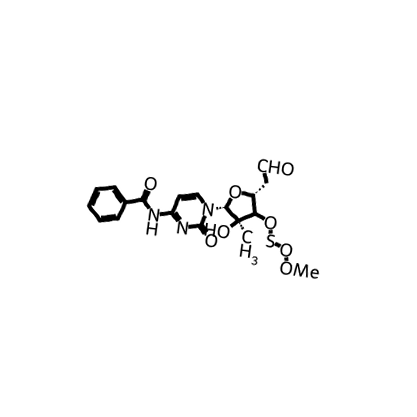 COOSOC1[C@@H](CC=O)O[C@@H](n2ccc(NC(=O)c3ccccc3)nc2=O)[C@]1(C)O